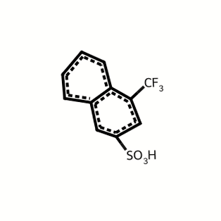 O=S(=O)(O)c1cc(C(F)(F)F)c2ccccc2c1